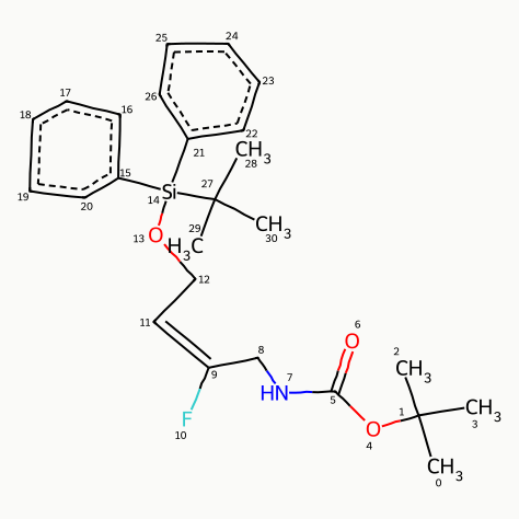 CC(C)(C)OC(=O)NC/C(F)=C\CO[Si](c1ccccc1)(c1ccccc1)C(C)(C)C